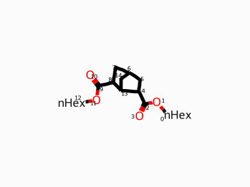 CCCCCCOC(=O)C1CC2CC(C(=O)OCCCCCC)C1C2